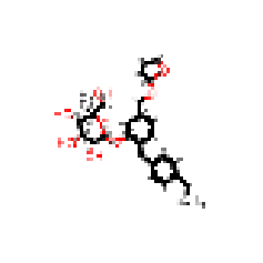 CCc1ccc(Cc2ccc(COC3CCCO3)cc2O[C@@H]2O[C@](C)(CO)[C@@H](O)[C@H](O)[C@H]2O)cc1